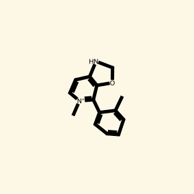 Cc1ccccc1-c1c2c(cc[n+]1C)NCO2